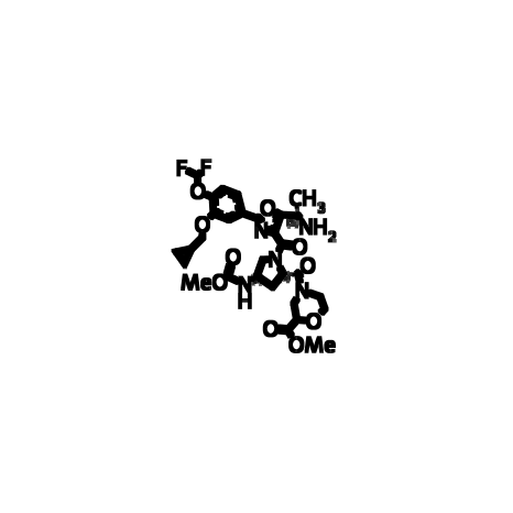 COC(=O)N[C@@H]1C[C@@H](C(=O)N2CCOC(C(=O)OC)C2)N(C(=O)c2nc(-c3ccc(OC(F)F)c(OCC4CC4)c3)oc2[C@H](C)N)C1